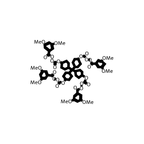 COc1cc(OC)cc(C(=O)OOC(=O)OC2CCC(C(C3CCC(OC(=O)OOC(=O)c4cc(OC)cc(OC)c4)CC3)(C3CCC(OC(=O)OOC(=O)c4cc(OC)cc(OC)c4)CC3)C3CCC(OC(=O)OOC(=O)c4cc(OC)cc(OC)c4)CC3)CC2)c1